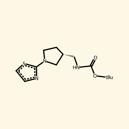 CC(C)(C)OC(=O)NC[C@H]1CCN(c2nccs2)C1